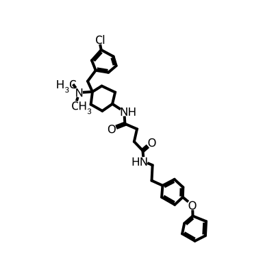 CN(C)C1(Cc2cccc(Cl)c2)CCC(NC(=O)CCC(=O)NCCc2ccc(Oc3ccccc3)cc2)CC1